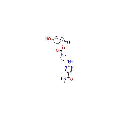 CNC(=O)c1cnc(N[C@@H]2CCN(C(=O)OC3C4CC5C[C@H]3C[C@@](O)(C5)C4)C2)nc1